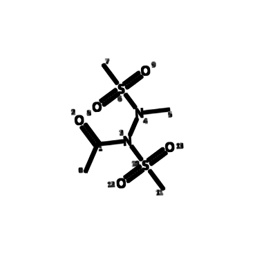 CC(=O)N(N(C)S(C)(=O)=O)S(C)(=O)=O